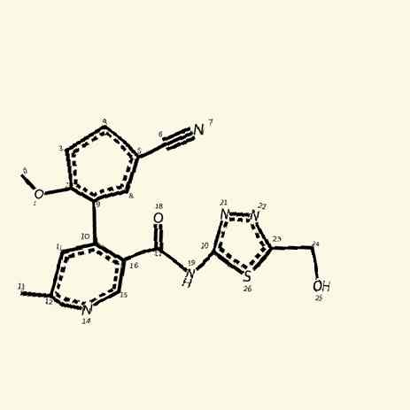 COc1ccc(C#N)cc1-c1cc(C)ncc1C(=O)Nc1nnc(CO)s1